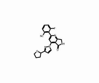 N#Cc1cccc(F)c1-c1cc(-n2ccc(C3CCCO3)n2)c2c(n1)CNC2=O